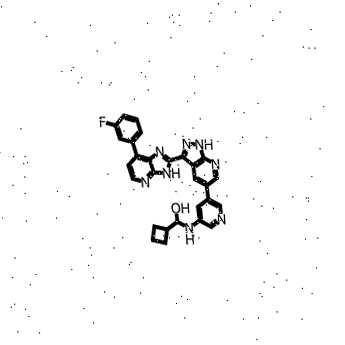 OC(Nc1cncc(-c2cnc3[nH]nc(-c4nc5c(-c6cccc(F)c6)ccnc5[nH]4)c3c2)c1)C1CCC1